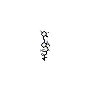 C=C1/C(=C\C=C2/CCC[C@]3(C)[C@@H]([C@H](C)C(O)CC(=O)C4(C)CC4)CC[C@@H]23)C[C@@H](C)C[C@@H]1C